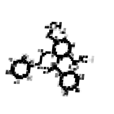 C=Cc1ccc(C(=O)O)c(C(=O)c2ccccc2)c1CCc1ccccc1